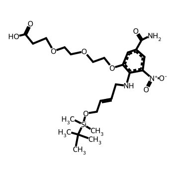 CC(C)(C)[Si](C)(C)OCC=CCNc1c(OCCOCCOCCC(=O)O)cc(C(N)=O)cc1[N+](=O)[O-]